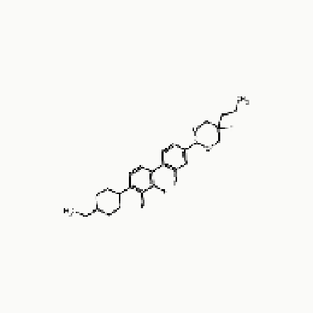 CCCC1(F)COC(c2ccc(-c3ccc(C4CCC(CC)CC4)c(F)c3F)c(F)c2)OC1